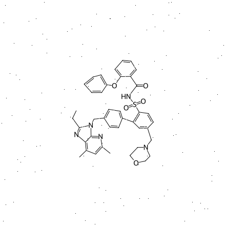 CCc1nc2c(C)cc(C)nc2n1Cc1ccc(-c2cc(CN3CCOCC3)ccc2S(=O)(=O)NC(=O)c2ccccc2Oc2ccccc2)cc1